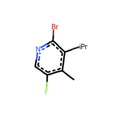 Cc1c(F)cnc(Br)c1C(C)C